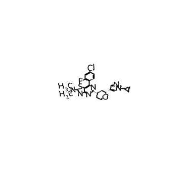 CN(C)c1nc2nc([C@H]3CCO[C@@H](c4cnn(C5CC5)c4)C3)nc(-c3ccc(Cl)cc3F)c2s1